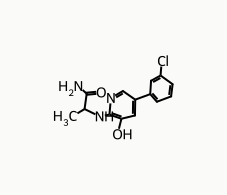 CC(Nc1ncc(-c2cccc(Cl)c2)cc1O)C(N)=O